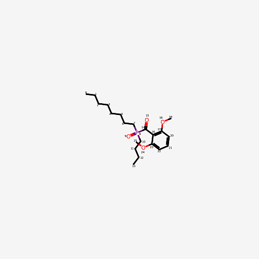 CCCCCCCCP(=O)(CCCC)C(=O)c1c(OC)cccc1OC